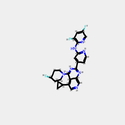 Fc1cnc(Nc2cc(-c3nc(N4C[CH]C(F)CC4)c4c(C5CC5)cncc4n3)ccn2)c(F)c1